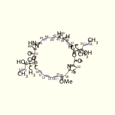 C/C=C/[C@H](O)C(C)(C)[C@@H]1C\C=C/C=C\C=C\[C@H](OC)Cc2nc(cs2)C(=O)O[C@H](C(C)(C)[C@@H](O)/C=C/C)C/C=C\[C@H]2C[C@H]2/C=C/C=C\c2nc(c[nH]2)C(=O)O1